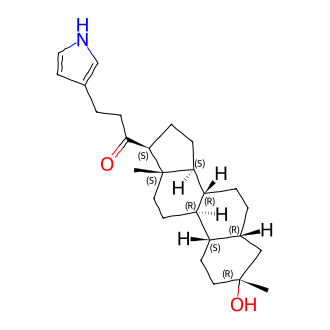 C[C@@]1(O)CC[C@H]2[C@H](CC[C@@H]3[C@@H]2CC[C@]2(C)[C@@H](C(=O)CCc4cc[nH]c4)CC[C@@H]32)C1